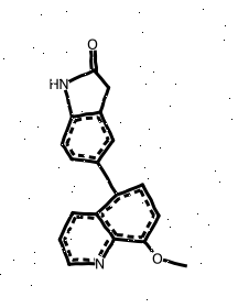 COc1ccc(-c2ccc3c(c2)CC(=O)N3)c2cccnc12